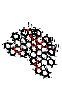 CC(C)(C)c1ccc(N(c2ccc(C(C)(C)C)cc2)c2cc3c4c(c2)N(C2=C(C5=CC=CC6C7CC=CC=C7N(c7ccccc7)C56)CCC=C2C2C=CC=C5C6=C(C=CCC6)N(C6C=CC=CC6)C52)c2cc(-c5ccccc5)ccc2B4c2ccc(-c4ccccc4)cc2N3C2=C(C3=CC=CC4C5CC=CC=C5N(C5=CC=CCC5)C34)CCC=C2C2C=CC=C3C4=C(C=CCC4)N(C4C=CC=CC4)C32)cc1